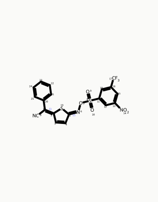 N#C/C(=C1C=C/C(=N/OS(=O)(=O)c2cc([N+](=O)[O-])cc(C(F)(F)F)c2)S\1)c1ccccc1